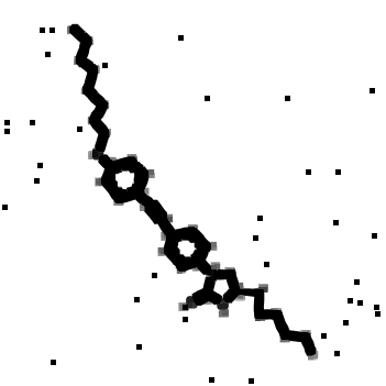 CCCCCCCCOc1ccc(C#Cc2ccc(N3C[C@@H](CCCCCC)OC3=O)cc2)cc1